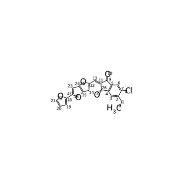 CCc1cc2c(cc1Cl)C(=O)/C(=C/c1cc3oc(-c4ccco4)cc3o1)C2=O